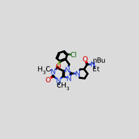 CCCCN(CC)C(=O)C1CCCN(c2nc3c(c(=O)n(C)c(=O)n3C)n2Cc2c(F)cccc2Cl)C1